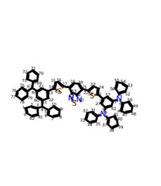 c1ccc(C(c2ccccc2)c2cc(-c3ccc(-c4ccc(-c5ccc(-c6cc(N(c7ccccc7)c7ccccc7)cc(N(c7ccccc7)c7ccccc7)c6)s5)c5nsnc45)s3)cc(C(c3ccccc3)c3ccccc3)c2)cc1